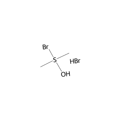 Br.CS(C)(O)Br